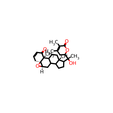 CC1=C(C)C(=O)OC([C@](C)(O)C2CCC3C4C[C@H]5O[C@]56CC=CC(=O)[C@]6(C)C4CC[C@@]32C)C1